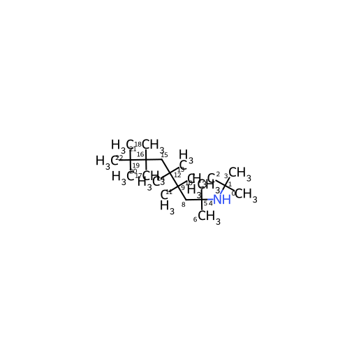 CC(C)(C)NC(C)(C)CC(C)(C)C(C)(C)CC(C)(C)C(C)(C)C